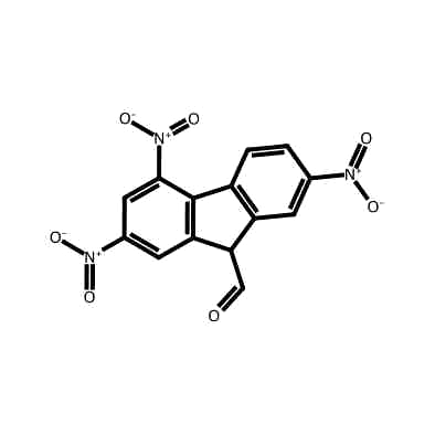 O=CC1c2cc([N+](=O)[O-])ccc2-c2c1cc([N+](=O)[O-])cc2[N+](=O)[O-]